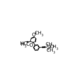 C#CC1C=C(OC)C=CC1(OC)c1cccc(C#C[Si](C)(C)C)c1